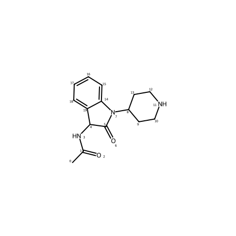 CC(=O)NC1C(=O)N(C2CCNCC2)c2ccccc21